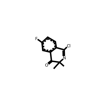 CC1(C)N=C(Cl)c2ccc(F)cc2C1=O